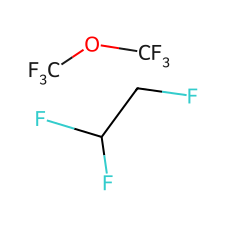 FC(F)(F)OC(F)(F)F.FCC(F)F